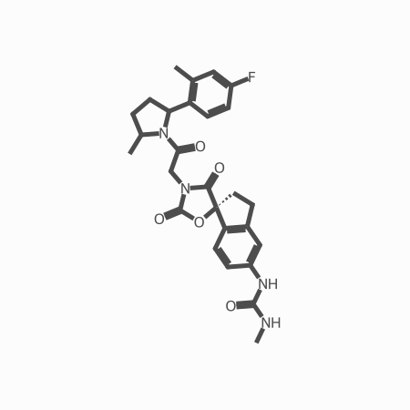 CNC(=O)Nc1ccc2c(c1)CC[C@@]21OC(=O)N(CC(=O)N2C(C)CCC2c2ccc(F)cc2C)C1=O